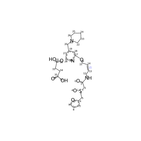 O=C(C[S+]([O-])Cc1ccco1)NC/C=C\COc1cc(CN2CCCCC2)ccn1.O=C(O)CCC(=O)O